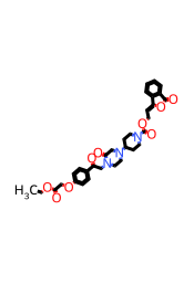 CCOC(=O)COc1ccc(C(=O)CN2CCN(C3CCN(C(=O)OCC=C4OC(=O)c5ccccc54)CC3)CC2=O)cc1